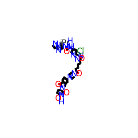 CC(C)c1c(NC(=O)Nc2cnc(-c3noc(CCCCC(=O)N4CCN(c5ccc6c(c5)CN(C5CCC(=O)NC5=O)C6=O)CC4)n3)c(Cl)c2)cnc2ccnn12